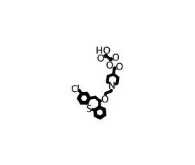 O=C(O)C(=O)OC(=O)C1CCN(CCOC2Cc3cc(Cl)ccc3Sc3ccccc32)CC1